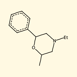 CCN1CC(C)OC(c2ccccc2)C1